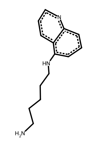 NCCCCCNc1cccc2ncccc12